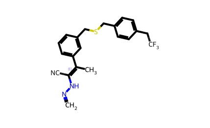 C=NN/C(C#N)=C(\C)c1cccc(CSCc2ccc(CC(F)(F)F)cc2)c1